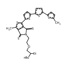 CCCCC(CC)COCCN1C(=S)c2c(C)sc(-c3ccc(-c4ccc(-c5ccc(C)s5)s4)s3)c2C1=S